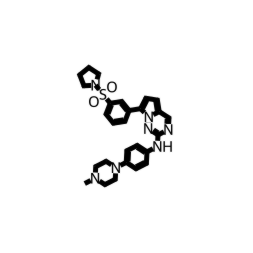 CN1CCN(c2ccc(Nc3ncc4ccc(-c5cccc(S(=O)(=O)N6CCCC6)c5)n4n3)cc2)CC1